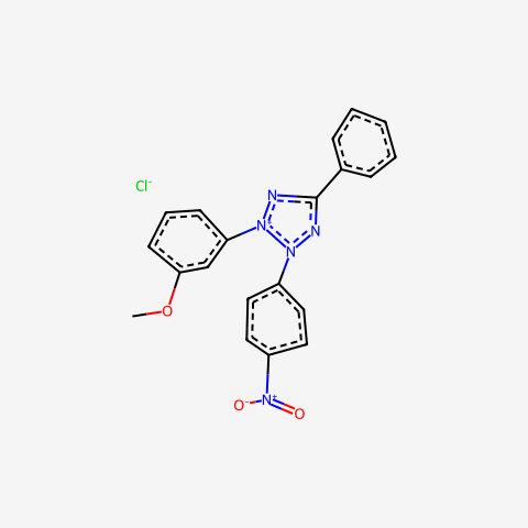 COc1cccc(-[n+]2nc(-c3ccccc3)nn2-c2ccc([N+](=O)[O-])cc2)c1.[Cl-]